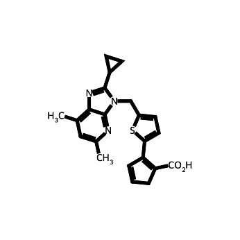 Cc1cc(C)c2nc(C3CC3)n(Cc3ccc(C4=C(C(=O)O)CC=C4)s3)c2n1